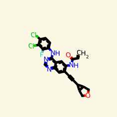 C=CC(=O)Nc1cc2c(Nc3ccc(Cl)c(Cl)c3F)ncnc2cc1C#CC1C2COCC12